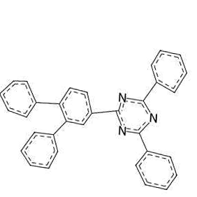 c1ccc(-c2nc(-c3ccccc3)nc(-c3ccc(-c4ccccc4)c(-c4ccccc4)c3)n2)cc1